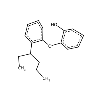 CCCC(CC)c1ccccc1Oc1ccccc1O